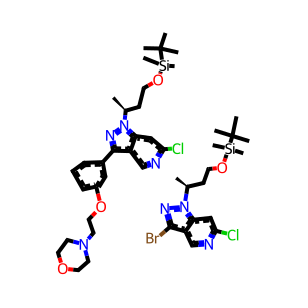 C[C@@H](CCO[Si](C)(C)C(C)(C)C)n1nc(-c2cccc(OCCN3CCOCC3)c2)c2cnc(Cl)cc21.C[C@@H](CCO[Si](C)(C)C(C)(C)C)n1nc(Br)c2cnc(Cl)cc21